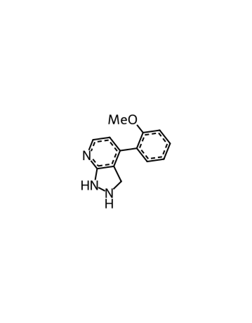 COc1ccccc1-c1ccnc2c1CNN2